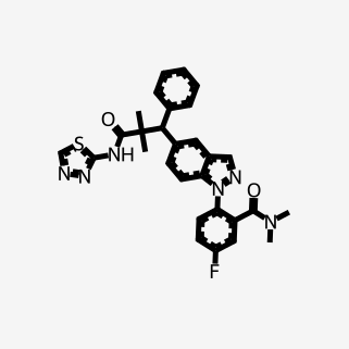 CN(C)C(=O)c1cc(F)ccc1-n1ncc2cc(C(c3ccccc3)C(C)(C)C(=O)Nc3nncs3)ccc21